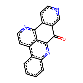 O=C1c2cnccc2-c2nccc3c2c1nc1ccccc13